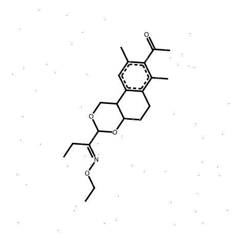 CCON=C(CC)C1OCC2c3cc(C)c(C(C)=O)c(C)c3CCC2O1